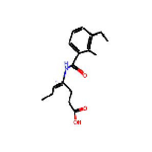 CC/C=C(\CCC(=O)O)NC(=O)c1cccc(CC)c1C